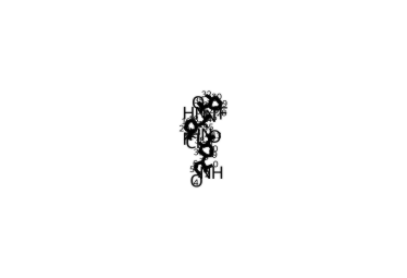 Cc1[nH]c(=O)ccc1-c1ccc(C(=O)NC[C@@H](c2cccc(F)c2)c2nc3c(F)ccc(C)c3c(=O)[nH]2)c(Cl)c1